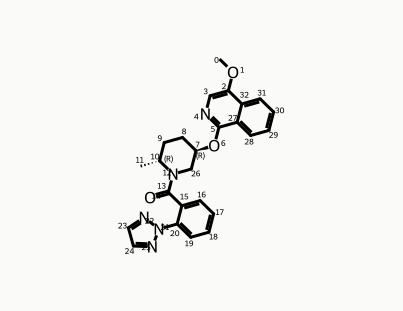 COc1cnc(O[C@@H]2CC[C@@H](C)N(C(=O)c3ccccc3-n3nccn3)C2)c2ccccc12